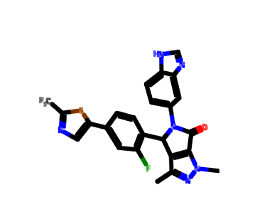 Cc1nn(C)c2c1C(c1ccc(-c3cnc(C(F)(F)F)s3)cc1F)N(c1ccc3[nH]cnc3c1)C2=O